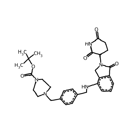 CC(C)(C)OC(=O)N1CCN(Cc2ccc(CNc3cccc4c3CN(C3CCC(=O)NC3=O)C4=O)cc2)CC1